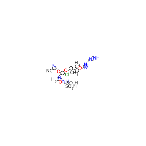 Cc1c(COc2cc(OCc3cncc(C#N)c3)c(CN(C)CC(=O)NCC(S(=O)(=O)O)S(=O)(=O)O)cc2Cl)cccc1-c1cccc(OCc2cn(CCCN3CCNCC3)nn2)c1C